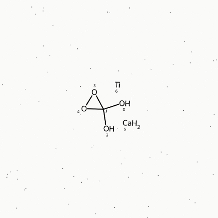 OC1(O)OO1.[CaH2].[Ti]